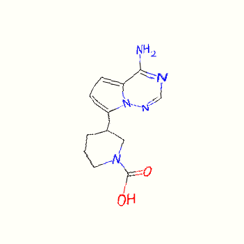 Nc1ncnn2c(C3CCCN(C(=O)O)C3)ccc12